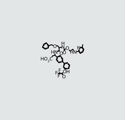 Cc1cccc(NCCOC(=O)NC(COCc2ccccc2)C(=O)NC(CC(=O)O)c2ccc(-c3ccccc3)cc2)n1.O=C(O)C(F)(F)F